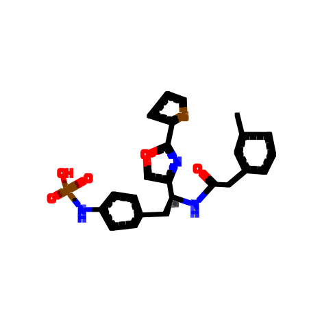 Cc1cccc(CC(=O)N[C@@H](Cc2ccc(NS(=O)(=O)O)cc2)c2coc(-c3cccs3)n2)c1